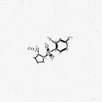 O=C(O)[C@@H]1CCCN1S(=O)(=O)c1ccc(F)cc1F